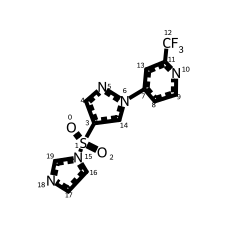 O=S(=O)(c1cnn(-c2ccnc(C(F)(F)F)c2)c1)n1ccnc1